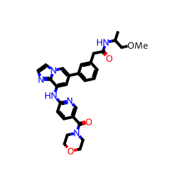 COCC(C)NC(=O)Cc1cccc(-c2cc(Nc3ccc(C(=O)N4CCOCC4)cn3)c3nccn3c2)c1